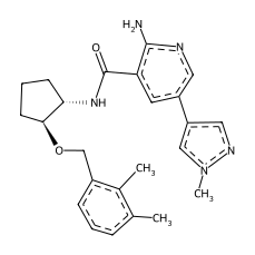 Cc1cccc(CO[C@H]2CCC[C@@H]2NC(=O)c2cc(-c3cnn(C)c3)cnc2N)c1C